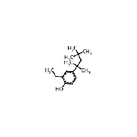 CCc1cc(C(C)(C)CC(C)(C)C)ccc1O